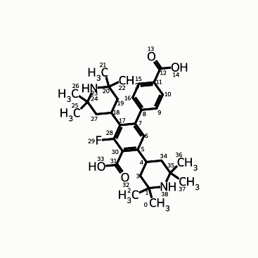 CC1(C)CC(c2cc(-c3ccc(C(=O)O)cc3)c(C3CC(C)(C)NC(C)(C)C3)c(F)c2C(=O)O)CC(C)(C)N1